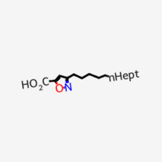 CCCCCCCCCCCCc1cc(C(=O)O)on1